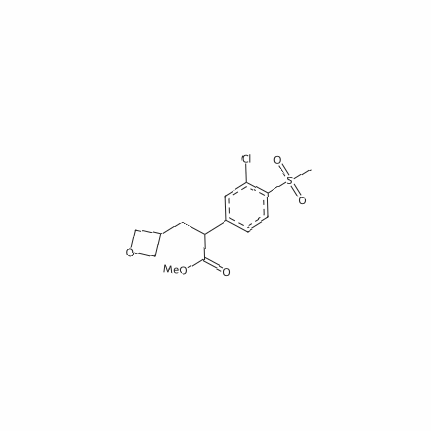 COC(=O)C(CC1COC1)c1ccc(S(C)(=O)=O)c(Cl)c1